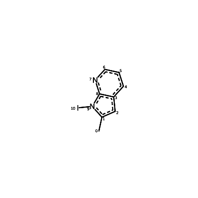 Cc1cc2cccnc2n1I